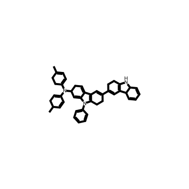 CC1=CC=C(N(C2=CCC(C)C=C2)C2C=c3c(c4c(n3-c3ccccc3)CCC(C3=CC5=C(CC3)NC3C=CC=CC53)=C4)=CC2)CC1